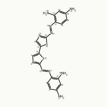 Nc1ccc(/N=N/c2ncc(-c3cnc(/N=N/c4ccc(N)cc4N)s3)s2)c(N)c1